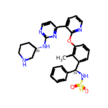 Cc1c(Oc2ncccc2-c2ccnc(N[C@H]3CCCNC3)n2)cccc1[C@@H](N[SH](=O)=O)c1ccccc1